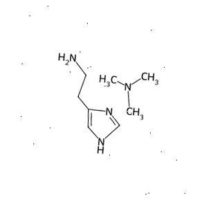 CN(C)C.NCCc1c[nH]cn1